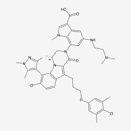 Cc1cc(OCCCc2c3n(c4c(-c5c(C)nn(C)c5C)c(Cl)ccc24)[C@H](C)CN(c2cc(NCCN(C)C)cc4c(C(=O)O)cn(C)c24)C3=O)cc(C)c1Cl